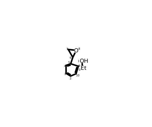 CCO.c1ccc(C2CO2)cc1